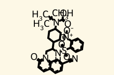 CC(C)(C)N(C(=O)O)C1CCC(C(Cn2c(=O)ccc3ccc(C#N)cc32)NS(=O)(=O)c2ccccc2[N+](=O)[O-])CC1